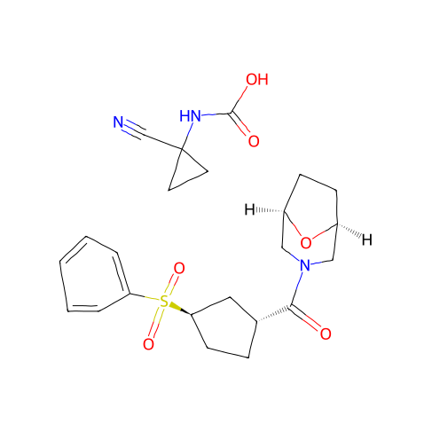 N#CC1(NC(=O)O)CC1.O=C([C@@H]1CC[C@@H](S(=O)(=O)c2ccccc2)C1)N1C[C@H]2CC[C@@H](C1)O2